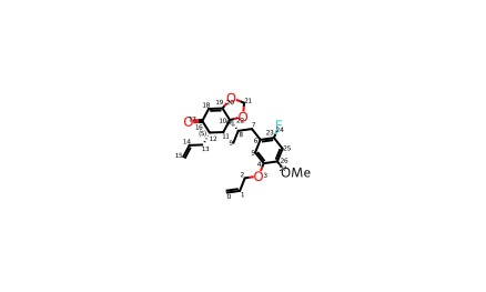 C=CCOc1cc(CC(C)[C@]23C[C@H](CC=C)C(=O)C=C2OCO3)c(F)cc1OC